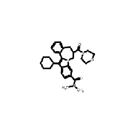 CN(C)C(=O)c1ccc2c(C3CCCCC3)c3n(c2c1)CC(C(=O)N1CCOCC1)Cc1ccccc1-3